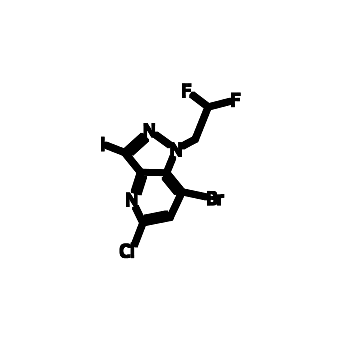 FC(F)Cn1nc(I)c2nc(Cl)cc(Br)c21